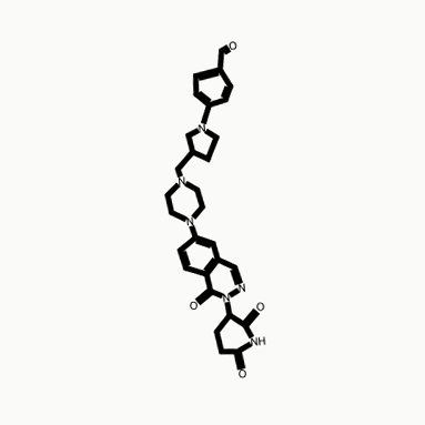 O=Cc1ccc(N2CCC(CN3CCN(c4ccc5c(=O)n(C6CCC(=O)NC6=O)ncc5c4)CC3)C2)cc1